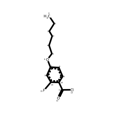 CCCCCCOc1ccc(C(=O)Cl)c(F)c1